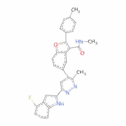 CNC(=O)c1c(-c2ccc(C)cc2)oc2ccc(-c3cc(-c4cc5c(F)cccc5[nH]4)nnc3C)cc12